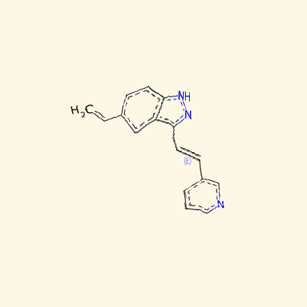 C=Cc1ccc2[nH]nc(/C=C/c3cccnc3)c2c1